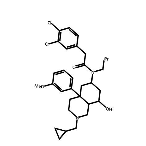 COc1cccc(C23CCN(CC4CC4)CC2C(O)CC(N(CC(C)C)C(=O)Cc2ccc(Cl)c(Cl)c2)C3)c1